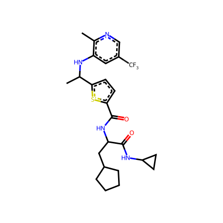 Cc1ncc(C(F)(F)F)cc1NC(C)c1ccc(C(=O)NC(CC2CCCC2)C(=O)NC2CC2)s1